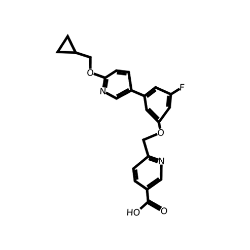 O=C(O)c1ccc(COc2cc(F)cc(-c3ccc(OCC4CC4)nc3)c2)nc1